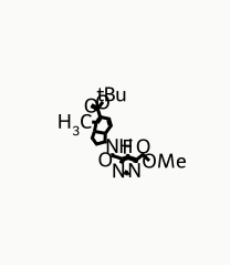 COC(=O)c1ncnc(C(=O)N[C@H]2CCC3C(C)=C(C(=O)OC(C)(C)C)C=CC32)c1F